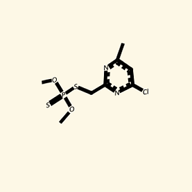 COP(=S)(OC)SCc1nc(C)cc(Cl)n1